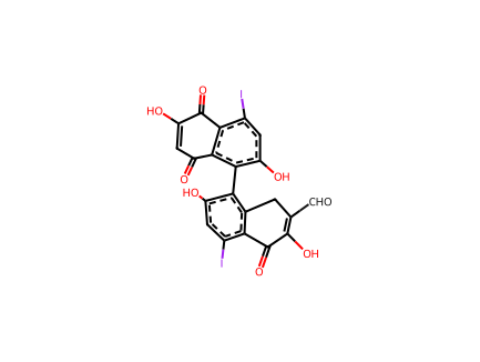 O=CC1=C(O)C(=O)c2c(I)cc(O)c(-c3c(O)cc(I)c4c3C(=O)C=C(O)C4=O)c2C1